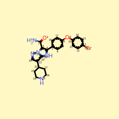 NC(=O)c1c(-c2ccc(Oc3ccc(Br)cc3)cc2)[nH]c2c(C3CCNCC3)cnn12